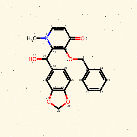 Cn1ccc(=O)c(OCc2ccccc2)c1C(O)c1ccc2c(c1)OCO2